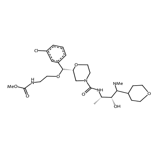 CNC(C1CCOCC1)[C@H](O)[C@H](C)NC(=O)N1CCO[C@@H](C(OCCNC(=O)OC)c2cccc(Cl)c2)C1